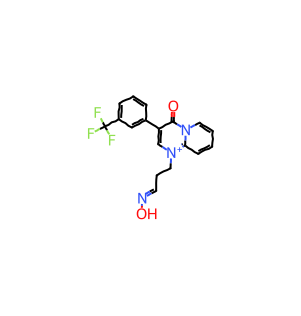 O=c1c(-c2cccc(C(F)(F)F)c2)c[n+](CCC=NO)c2ccccn12